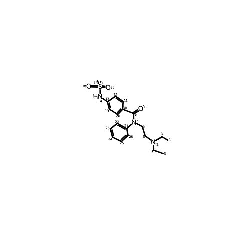 CCN(CC)CCN(C(=O)c1ccc(NS(C)(=O)=O)cc1)c1ccccc1